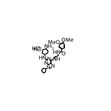 COc1ccc(C(=O)NCCNc2nc(NC3CCC(N)CC3)nc3c2ncn3C2CCCC2)cc1OC.Cl.Cl